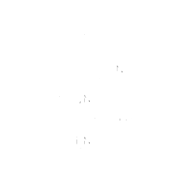 Cc1c(C)n(C(N)=O)c2ncccc12